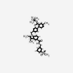 Cc1ccc(-c2ccc(Cn3c(C)c(C)c4cc(C(=O)NCc5cccc(S(C)(=O)=O)c5)ccc43)cc2)c(C(=O)OC(C)(C)C)c1